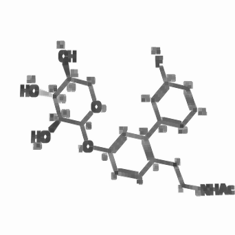 CC(=O)NCCc1ccc(OC2OC[C@H](O)[C@@H](O)[C@@H]2O)cc1-c1cccc(F)c1